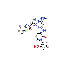 CNc1cc(Nc2cccn([C@H]3CCC[C@H]3O)c2=O)nc2c(C(=O)N[C@@H]3CCC3(F)F)cnn12